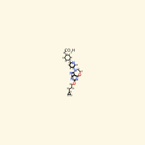 O=C(O)C[C@H]1CC[C@@H](c2ccc(N3CCOc4nc(OCCCC5CC5)nc5c4C3=N5)cn2)CC1